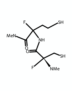 CNC(=O)C(F)(CCS)NC(=O)[C@@](F)(CS)NC